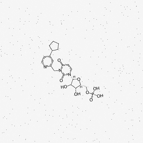 O=c1ccn([C@@H]2O[C@H](COP(=O)(O)O)C(O)C2O)c(=O)n1Cc1cc(C2CCCC2)ccn1